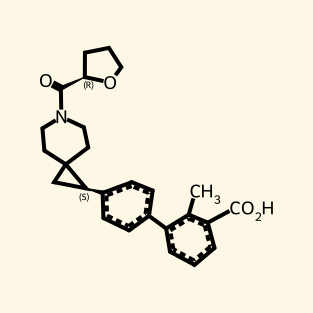 Cc1c(C(=O)O)cccc1-c1ccc([C@H]2CC23CCN(C(=O)[C@H]2CCCO2)CC3)cc1